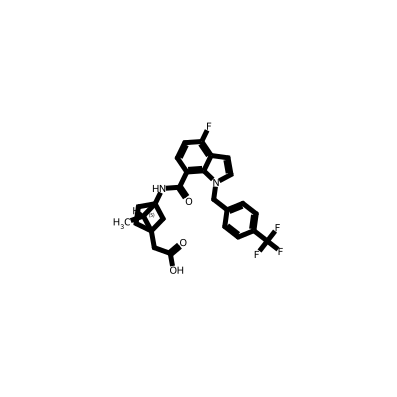 C[C@H]1C2(CC(=O)O)CCC1(NC(=O)c1ccc(F)c3ccn(Cc4ccc(C(F)(F)F)cc4)c13)C2